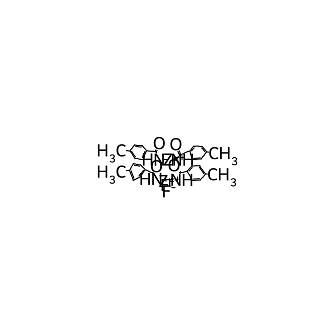 Cc1ccc(C(=O)[NH][Zr+][NH]C(=O)c2ccc(C)cc2)cc1.Cc1ccc(C(=O)[NH][Zr+][NH]C(=O)c2ccc(C)cc2)cc1.[F-].[F-]